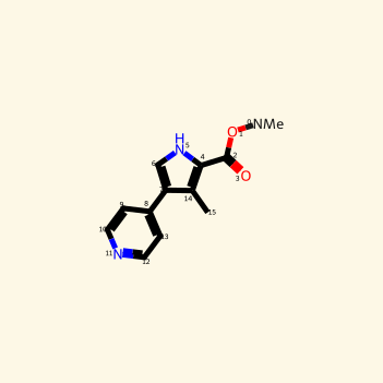 CNOC(=O)c1[nH]cc(-c2ccncc2)c1C